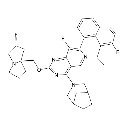 CCc1c(F)ccc2cccc(-c3ncc4c(N5CC6CCC(C6)C5)nc(OC[C@@]56CCCN5C[C@H](F)C6)nc4c3F)c12